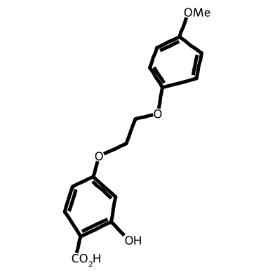 COc1ccc(OCCOc2ccc(C(=O)O)c(O)c2)cc1